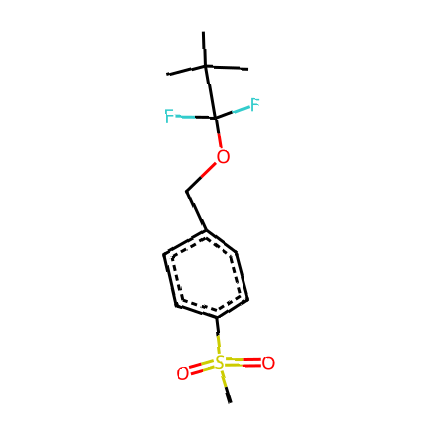 CC(C)(C)C(F)(F)OCc1ccc(S(C)(=O)=O)cc1